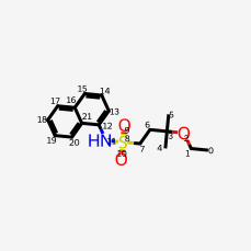 CCOC(C)(C)CCS(=O)(=O)Nc1cccc2ccccc12